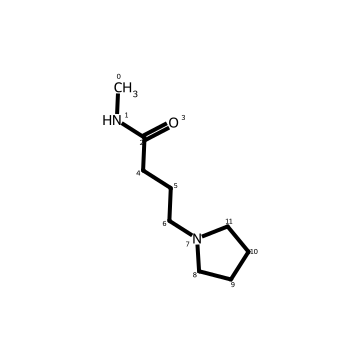 CNC(=O)CCCN1CCCC1